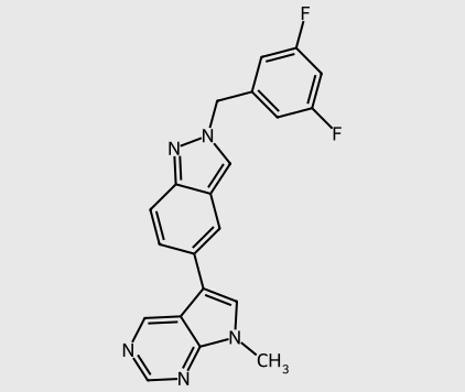 Cn1cc(-c2ccc3nn(Cc4cc(F)cc(F)c4)cc3c2)c2cncnc21